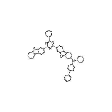 c1ccc(-c2ccc(N(c3ccccc3)c3ccc4c(c3)oc3cc(-c5nc(-c6ccccc6)nc(-c6ccc7c(c6)sc6ccccc67)n5)ccc34)cc2)cc1